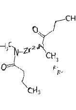 CCCC(=O)[N](C)[Zr+2][N](C)C(=O)CCC.[F-].[F-]